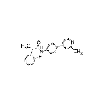 Cc1cc(-c2ccc(NC(=O)[C@@H](C)c3ccccc3F)cc2)ccn1